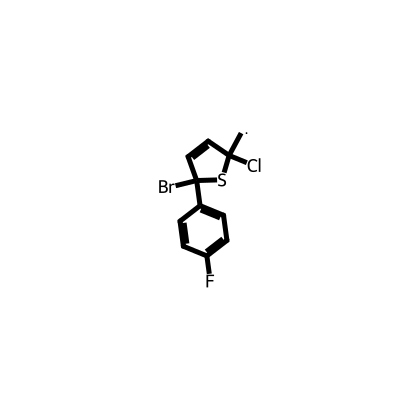 [CH2]C1(Cl)C=CC(Br)(c2ccc(F)cc2)S1